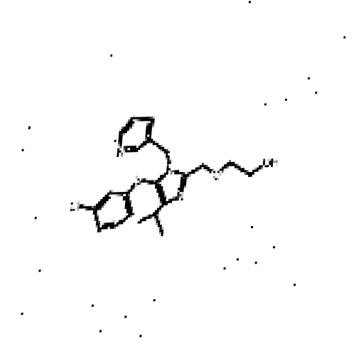 CC(C)c1nc(COCCO)n(Cc2cccnc2)c1Sc1cccc(Cl)c1